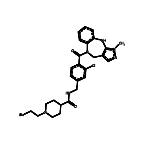 Cn1ncc2c1Nc1ccccc1N(C(=O)c1ccc(CNC(=O)C3CCN(CCC(C)(C)C)CC3)cc1Cl)C2